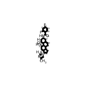 Cc1cn(C2=CCC3C4CC=C5C[C@@H](NC(=O)c6ccc(F)cc6F)CC[C@]5(C)C4CC[C@]23C)cn1.Cl